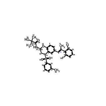 C/C(=C\c1ccc2c(c1)N(S(=O)(=O)c1cccc(C)c1)C[C@@H](NC(=O)C(C)(C)O)O2)c1c(F)cccc1Cl